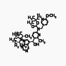 COc1ccc(CN(C(=O)OC(C)(C)C)c2ccc(C(O)c3cn([Si](C(C)C)(C(C)C)C(C)C)c4ncncc34)c(C)n2)cn1